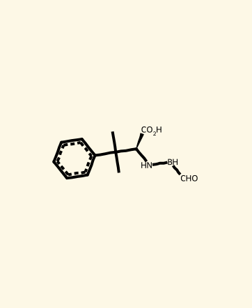 CC(C)(c1ccccc1)[C@H](NBC=O)C(=O)O